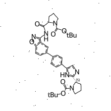 CC(C)(C)OC(=O)N1CCCC1C(=O)Nc1noc2ccc(-c3ccc(-c4cnc([C@@H]5CCCN5C(=O)OC(C)(C)C)[nH]4)cc3)cc12